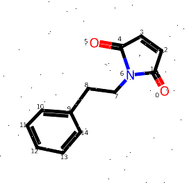 O=C1C=CC(=O)N1CCc1ccccc1